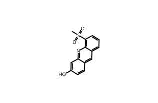 CS(=O)(=O)c1cccc2cc3ccc(O)cc3nc12